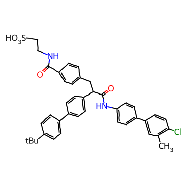 Cc1cc(-c2ccc(NC(=O)C(Cc3ccc(C(=O)NCCS(=O)(=O)O)cc3)c3ccc(-c4ccc(C(C)(C)C)cc4)cc3)cc2)ccc1Cl